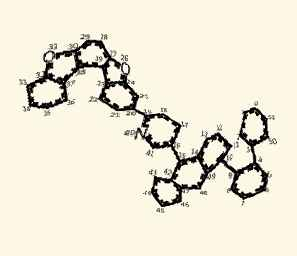 c1ccc(-c2ccccc2-c2cccc3c(-c4ccc(-c5ccc6c(c5)oc5ccc7oc8ccccc8c7c56)nc4)c4ccccc4cc23)cc1